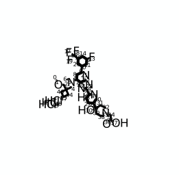 COCC1(CN(C)c2cc(-c3cc(F)cc(C(F)(F)F)c3)nc3nc(-c4ccc(C5(O)CCN(CC(=O)O)CC5)cn4)[nH]c23)CCC1.Cl.Cl.Cl